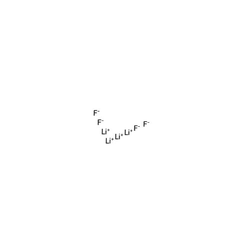 [F-].[F-].[F-].[F-].[Li+].[Li+].[Li+].[Li+]